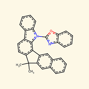 CC1(C)c2cc3ccccc3cc2-c2c1ccc1c3ccccc3n(-c3nc4ccccc4o3)c21